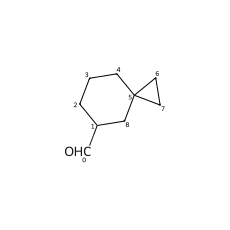 O=CC1CCCC2(CC2)C1